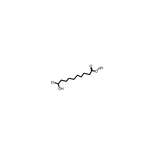 CCCOC(=O)CCCCCCCCC(O)CC